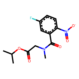 CC(C)OC(=O)CN(C)C(=O)c1cc(F)ccc1[N+](=O)[O-]